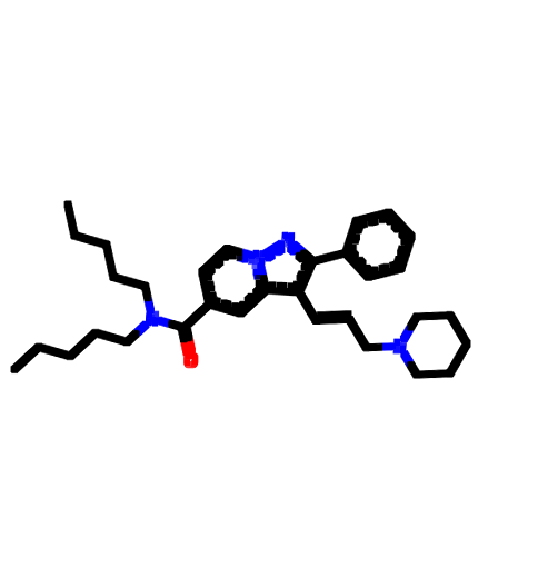 CCCCCN(CCCCC)C(=O)c1ccn2nc(-c3ccccc3)c(/C=C/CN3CCCCC3)c2c1